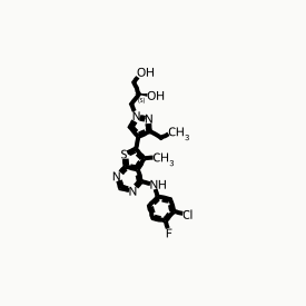 CCc1nn(C[C@H](O)CO)cc1-c1sc2ncnc(Nc3ccc(F)c(Cl)c3)c2c1C